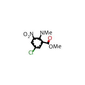 CNc1c(C(=O)OC)cc(Cl)cc1[N+](=O)[O-]